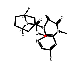 Cn1c(=O)c(=O)n(C2C[C@H]3CC[C@@H](C2)N3C(=O)OC(C)(C)C)c2ncc(Cl)cc21